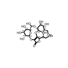 O=C1O[C@H]([C@@H](O)CO)C(O[C@@H]2O[C@H](CO)[C@@H](O)[C@H](O)[C@H]2O)=C1O[C@@H]1O[C@H](CO)[C@@H](O)[C@H](O)[C@H]1O